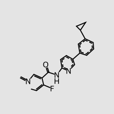 C=N/C=C(C(=O)Nc1ccc(-c2cccc(C3CC3)c2)cn1)\C(F)=C/C